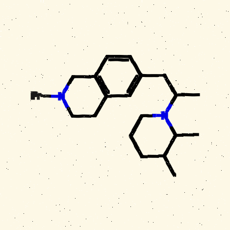 CC1CCCN(C(C)Cc2ccc3c(c2)CCN(C(C)C)C3)C1C